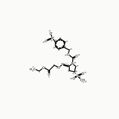 CCOC(=O)CO/N=C1\C[C@@H](S(C)(=O)=O)CN1C(=O)OCc1ccc([N+](=O)[O-])cc1